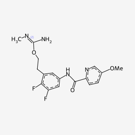 C/N=C(/N)OCCc1cc(NC(=O)c2ccc(OC)cn2)cc(F)c1F